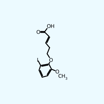 COc1cccc(I)c1OCCC=CC(=O)O